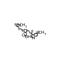 COc1ccc2nccc([C@@H](F)CC[C@@H]3CCN(CCSc4cncn4C)C[C@@H]3CC(=O)O)c2c1